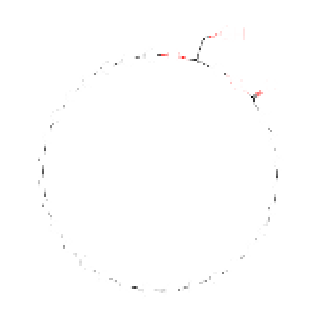 O=C1CCCCCCCCCCCCCCCCCCCCCCCCCCCOC(CO)CO1